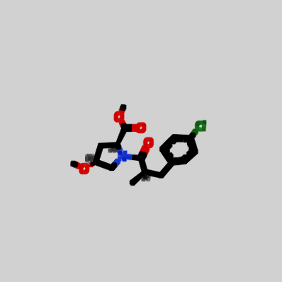 COC(=O)[C@@H]1C[C@@H](OC)CN1C(=O)[C@H](C)Cc1ccc(Cl)cc1